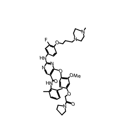 COc1cc(OCC(=O)N2CCCC2)ccc1Oc1nc(Nc2ccc(OCCCN3CCN(C)CC3)c(F)c2)ncc1C(=O)Nc1c(C)cccc1C